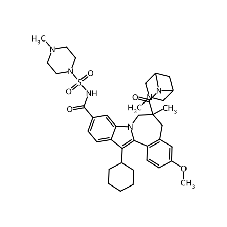 COc1ccc2c(c1)CC(C)(C(=O)N1C3CC1CN(C)C3)Cn1c-2c(C2CCCCC2)c2ccc(C(=O)NS(=O)(=O)N3CCN(C)CC3)cc21